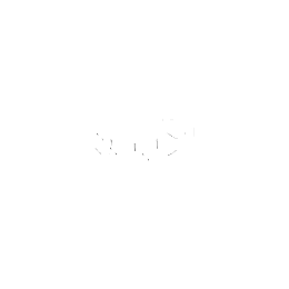 Cn1cc[n+](CC(=O)Nc2ccc(Cl)c(O)c2)c1